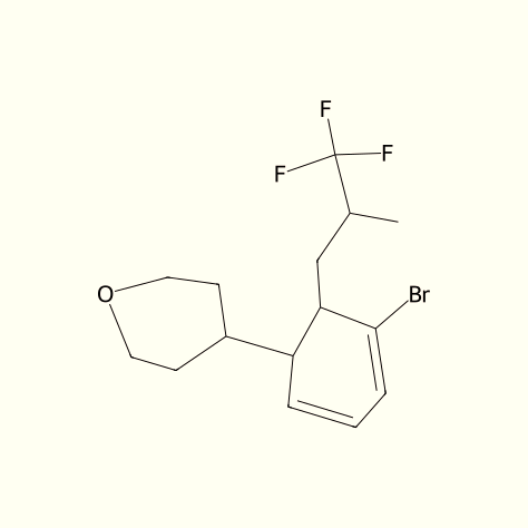 CC(CC1C(Br)=CC=CC1C1CCOCC1)C(F)(F)F